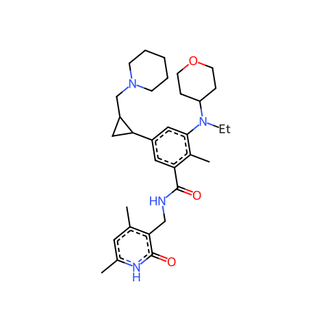 CCN(c1cc(C2CC2CN2CCCCC2)cc(C(=O)NCc2c(C)cc(C)[nH]c2=O)c1C)C1CCOCC1